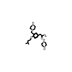 C1CNCCN1.COC(=O)Cc1ccc(OCCC(C)C)c(CN2CCNCC2)c1